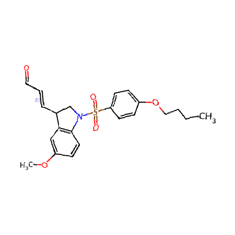 CCCCOc1ccc(S(=O)(=O)N2CC(/C=C/C=O)c3cc(OC)ccc32)cc1